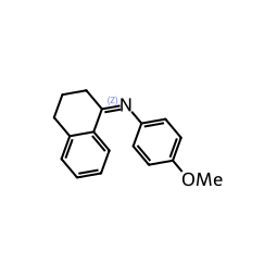 COc1ccc(/N=C2/CCCc3ccccc32)cc1